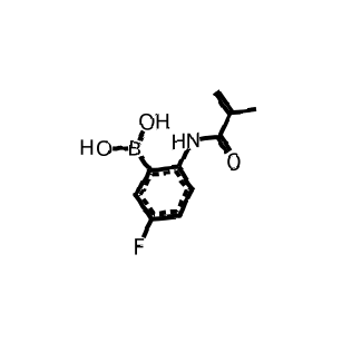 C=C(C)C(=O)Nc1ccc(F)cc1B(O)O